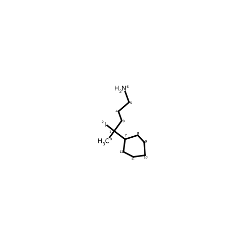 CC(I)(CCCN)C1CCCCC1